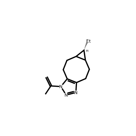 C=C(C)n1nnc2c1CCC1C(CC2)[C@H]1CC